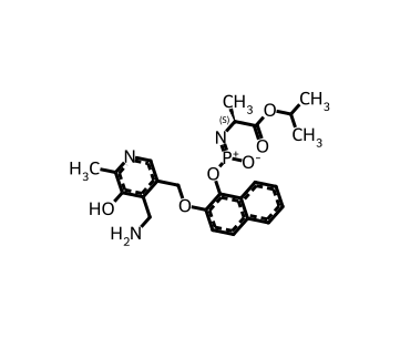 Cc1ncc(COc2ccc3ccccc3c2O[P+]([O-])=N[C@@H](C)C(=O)OC(C)C)c(CN)c1O